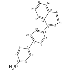 Bc1ccc(-c2ccc(-c3cccc4ccccc34)cc2)cc1